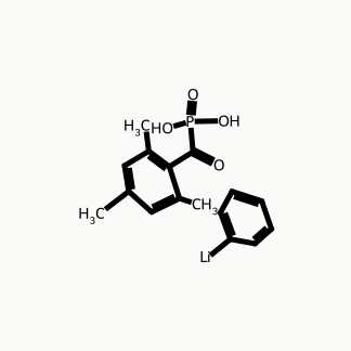 Cc1cc(C)c(C(=O)P(=O)(O)O)c(C)c1.[Li][c]1ccccc1